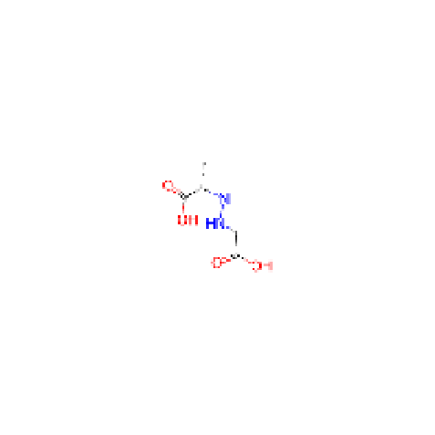 C[C@H](NNCC(=O)O)C(=O)O